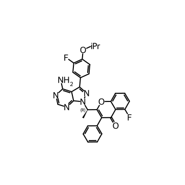 CC(C)Oc1ccc(-c2nn([C@H](C)c3oc4cccc(F)c4c(=O)c3-c3ccccc3)c3ncnc(N)c23)cc1F